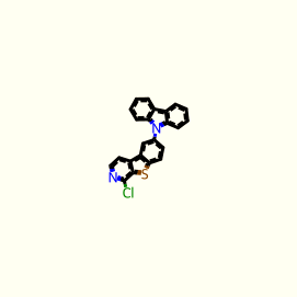 Clc1nccc2c1sc1ccc(-n3c4ccccc4c4ccccc43)cc12